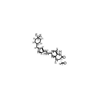 CC(=O)[C@H]1C(=O)Nc2c(C)nc(NCc3cnn(CC4CCC(F)(F)CC4)c3)nc2N1C